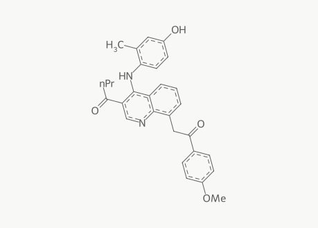 CCCC(=O)c1cnc2c(CC(=O)c3ccc(OC)cc3)cccc2c1Nc1ccc(O)cc1C